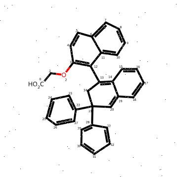 O=C(O)COc1ccc2ccccc2c1C1=c2ccccc2=CC(c2ccccc2)(c2ccccc2)C1